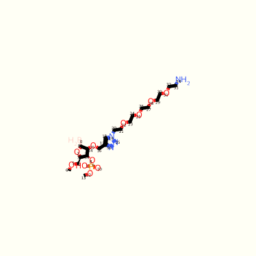 B[C@@H]1O[C@H](COC)[C@H](OP(=O)(O)OC)C1OCc1cn(CCOCCOCCOCCOCCN)nn1